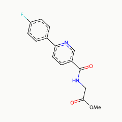 COC(=O)CNC(=O)c1ccc(-c2ccc(F)cc2)nc1